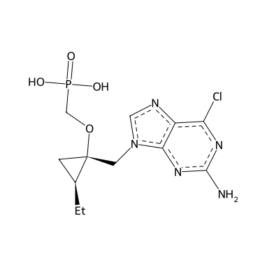 CC[C@H]1C[C@]1(Cn1cnc2c(Cl)nc(N)nc21)OCP(=O)(O)O